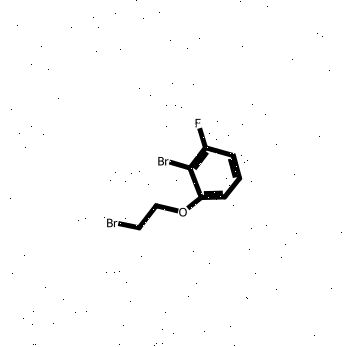 Fc1cccc(OCCBr)c1Br